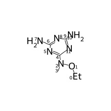 CCON(C)c1nc(N)nc(N)n1